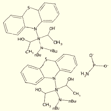 CCCCN(CCCC)[N+](C(C)O)(C(C)O)N1c2ccccc2Sc2ccccc21.CCCCN(CCCC)[N+](C(C)O)(C(C)O)N1c2ccccc2Sc2ccccc21.NP([O-])[O-]